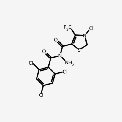 NN(C(=O)C1=C(C(F)(F)F)N(Cl)CS1)C(=O)c1c(Cl)cc(Cl)cc1Cl